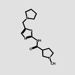 N#CN1CCC(C(=O)Nc2ncc(CN3CCCC3)s2)C1